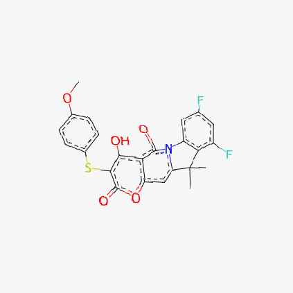 COc1ccc(Sc2c(O)c3c(=O)n4c(cc3oc2=O)C(C)(C)c2c(F)cc(F)cc2-4)cc1